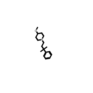 COC1CCN(CCC(C)(C)c2ccccc2)CC1